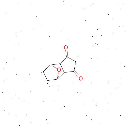 O=C1CC(=O)C2C3CCC(O3)C12